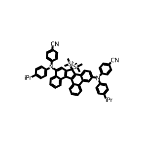 CC(C)c1ccc(N(c2ccc(C#N)cc2)c2ccc3c4c(c5ccccc5c3c2)-c2c(cc(N(c3ccc(C#N)cc3)c3ccc(C(C)C)cc3)c3ccccc23)C4([Si](C)(C)C)[Si](C)(C)C)cc1